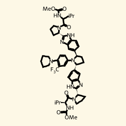 COC(=O)NC(C(=O)N1CCC[C@H]1c1nc2cc([C@H]3CC[C@H](c4ccc5[nH]c([C@@H]6CCCN6C(=O)[C@@H](NC(=O)OC)C(C)C)nc5c4)N3c3ccc(N4CCCCC4)c(C(F)(F)F)c3)ccc2[nH]1)C(C)C